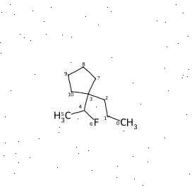 CCCC1(C(C)F)CCCC1